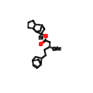 CCC1(OC(=O)CC(CCC2CC3C=CC2C3)OC(C)=O)CC2CC1C1CCCC21